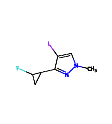 Cn1cc(I)c(C2CC2F)n1